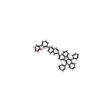 c1ccc(-c2c3c(c(-c4ccccc4)c4ccccc24)-c2ccc(-c4ccc5cc(-c6cccc7c6oc6ccccc67)ccc5c4)c4cccc-3c24)cc1